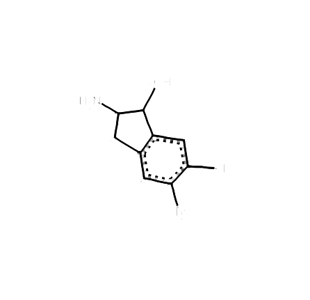 NC1Cc2cc(Br)c(Cl)cc2C1O